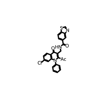 CC(=O)c1c(CNC(=O)c2ccc3scnc3c2)c(=O)c2ccc(Cl)cc2n1-c1ccccc1